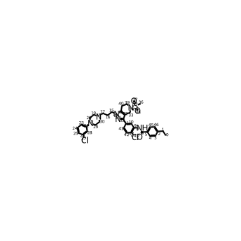 CCc1ccc(C(=O)Nc2cc(-c3nn(CCCN4CCN(c5cccc(Cl)c5)CC4)c4c3CN(S(C)(=O)=O)CC4)ccc2Cl)cc1